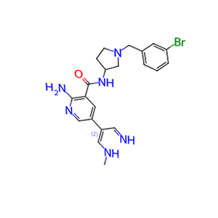 CN/C=C(\C=N)c1cnc(N)c(C(=O)NC2CCN(Cc3cccc(Br)c3)C2)c1